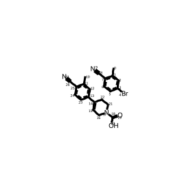 Cc1cc(Br)ccc1C#N.Cc1cc(C2=CCN(C(=O)O)CC2)ccc1C#N